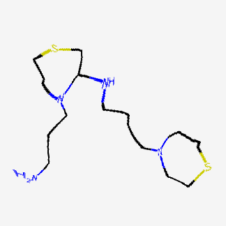 NCCCN1CCSCC1NCCCN1CCSCC1